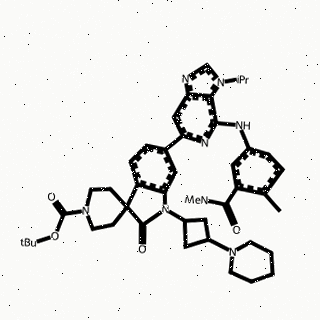 CNC(=O)c1cc(Nc2nc(-c3ccc4c(c3)N(C3CC(N5CCCCC5)C3)C(=O)C43CCN(C(=O)OC(C)(C)C)CC3)cc3ncn(C(C)C)c23)ccc1C